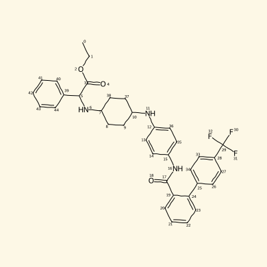 CCOC(=O)C(NC1CCC(Nc2ccc(NC(=O)c3ccccc3-c3ccc(C(F)(F)F)cc3)cc2)CC1)c1ccccc1